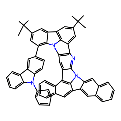 CC(C)(C)c1cc(-c2ccc3c(c2)c2ccccc2n3-c2ccccc2)c2c(c1)c1cc(C(C)(C)C)cc3c4nc5c(cc4n2c13)c1c2ccccc2cc2c3cc4ccccc4cc3n5c21